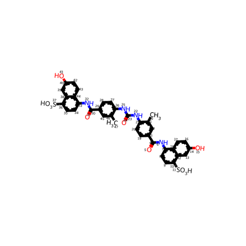 Cc1cc(C(=O)Nc2ccc(S(=O)(=O)O)c3cc(O)ccc23)ccc1NC(=O)Nc1ccc(C(=O)Nc2ccc(S(=O)(=O)O)c3cc(O)ccc23)cc1C